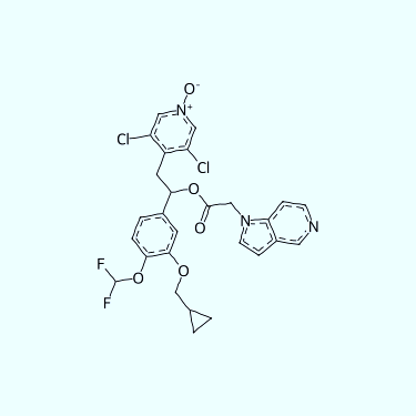 O=C(Cn1ccc2cnccc21)OC(Cc1c(Cl)c[n+]([O-])cc1Cl)c1ccc(OC(F)F)c(OCC2CC2)c1